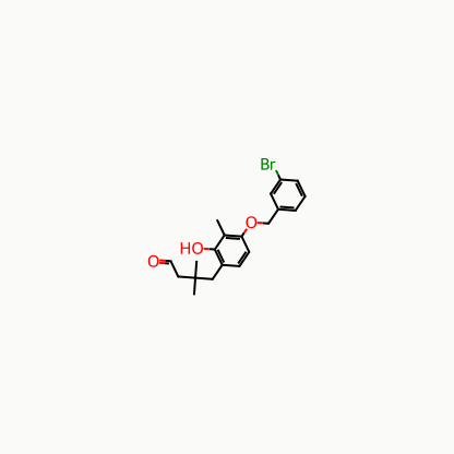 Cc1c(OCc2cccc(Br)c2)ccc(CC(C)(C)CC=O)c1O